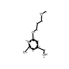 COCCCOc1cc(CO)cc(Cl)n1